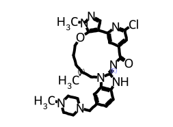 C[C@@H]1CCCOc2c(cnn2C)-c2cc(cc(Cl)n2)C(=O)/N=C2\Nc3ccc(CN4CCN(C)CC4)cc3N2C1